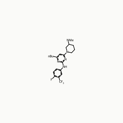 CCCCc1cc(N2CCCC(NC)C2)nc(Nc2ccc(F)c(C(F)(F)F)c2)n1